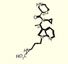 C[C@H](c1cn(CCCNC(=O)O)c2ncccc12)N(C(=O)[C@H]1CNCCO1)C1CC1